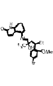 CCC(CC(O)(C=Nc1cccc2[nH]c(=O)ccc12)C(F)(F)F)c1ccc(Br)cc1OC